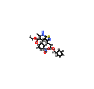 CCOC(=O)C1=C(C)Nc2snc(CCCOCc3ccccc3)c2C1c1cccc([N+](=O)[O-])c1